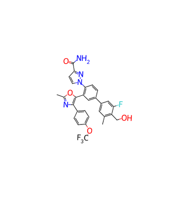 Cc1nc(-c2ccc(OC(F)(F)F)cc2)c(-c2cc(-c3cc(C)c(CO)c(F)c3)ccc2-n2ccc(C(N)=O)n2)o1